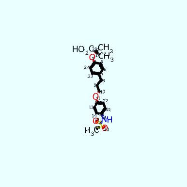 CC(C)(Oc1ccc(CCCOc2ccc(NS(C)(=O)=O)cc2)cc1)C(=O)O